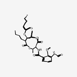 CCCCC1C(=O)OC(C)C(NC(=O)c2cccc(NC=O)c2OC)C(=O)OC(C)C1OC(=O)CCCF